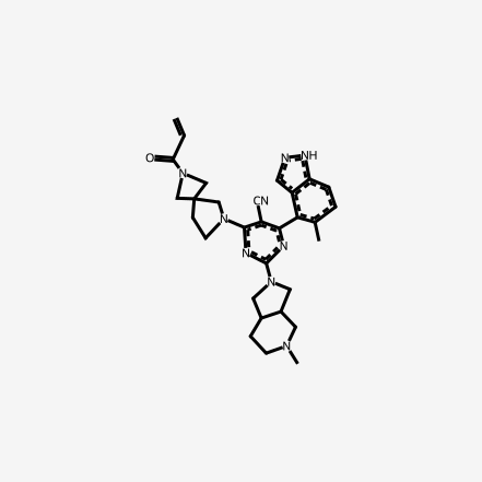 C=CC(=O)N1CC2(CCN(c3nc(N4CC5CCN(C)CC5C4)nc(-c4c(C)ccc5[nH]ncc45)c3C#N)C2)C1